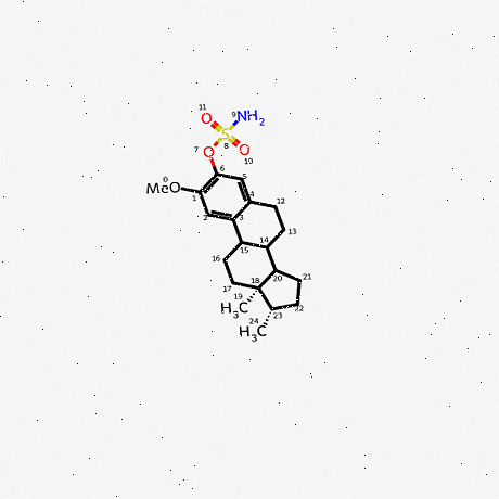 COc1cc2c(cc1OS(N)(=O)=O)CCC1C2CC[C@@]2(C)C1CC[C@@H]2C